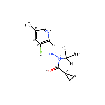 [2H]C([2H])([2H])N(NCc1ncc(C(F)(F)F)cc1F)C(=O)C1CC1